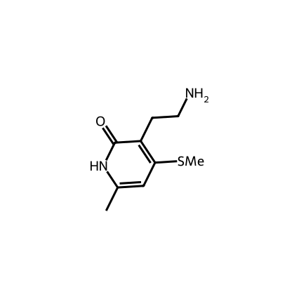 CSc1cc(C)[nH]c(=O)c1CCN